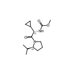 COC(=O)N[C@H](C(=O)N1CCC[C@H]1C(C)C)C1CC1